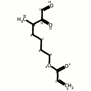 C=CC(=O)OCCCCC(C)C(=O)C=O